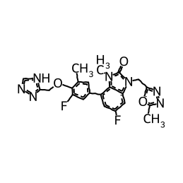 Cc1nnc(Cn2c(=O)n(C)c3c(-c4cc(C)c(OCc5nnc[nH]5)c(F)c4)cc(F)cc32)o1